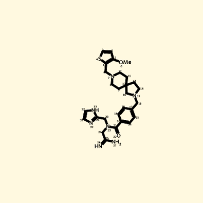 COc1ccsc1CN1CCC2(CC1)CCN(Cc1ccc(C(=O)N(CC(=N)N)Cc3ncc[nH]3)cc1)C2